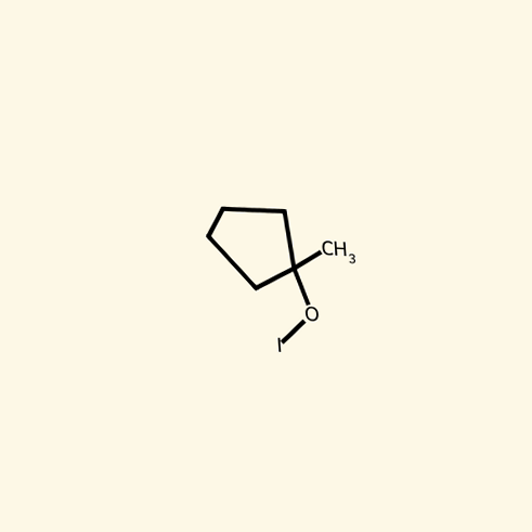 CC1(OI)CCCC1